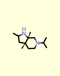 CC1C[C@@]2(C)CCN(C(C)C)C[C@@]2(C)N1